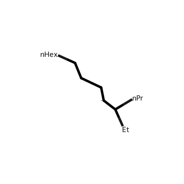 CCCCCCCCC[CH]C(CC)CCC